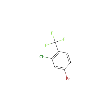 FC(F)(F)c1c[c]c(Br)cc1Cl